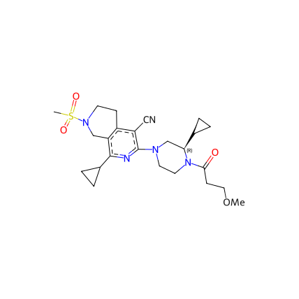 COCCC(=O)N1CCN(c2nc(C3CC3)c3c(c2C#N)CCN(S(C)(=O)=O)C3)C[C@H]1C1CC1